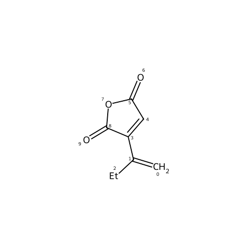 C=C(CC)C1=CC(=O)OC1=O